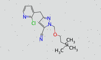 C[Si](C)(C)CCOCn1nc(Cc2cccnc2Cl)cc1C#N